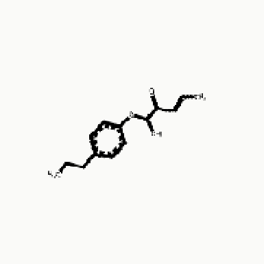 CC=CC(=O)C(O)Oc1ccc(CCC)cc1